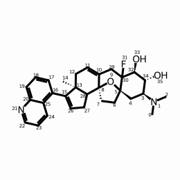 CN(C)[C@H]1C[C@@]23CC[C@@]4(O2)C(=CC[C@]2(C)C(c5cccc6ncccc56)=CCC24)CC3(F)[C@@H](O)[C@@H]1O